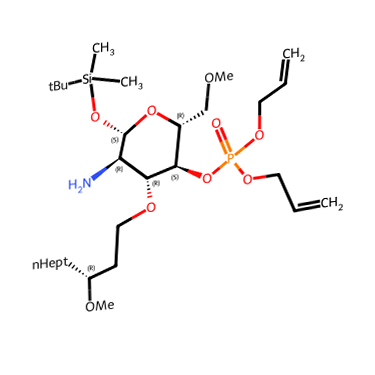 C=CCOP(=O)(OCC=C)O[C@H]1[C@H](OCC[C@@H](CCCCCCC)OC)[C@@H](N)[C@H](O[Si](C)(C)C(C)(C)C)O[C@@H]1COC